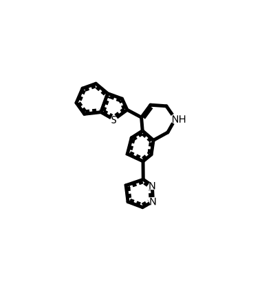 C1=C(c2cc3ccccc3s2)c2ccc(-c3cccnn3)cc2CNC1